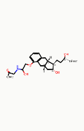 CCCCC[C@@H](O)CC[C@@H]1[C@H]2Cc3cccc(OCC(O)NCC(=O)OC)c3C[C@H]2C[C@H]1O